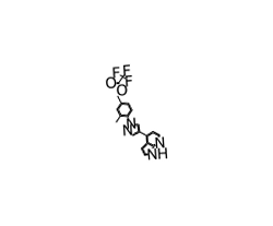 Cc1cc(COC(=O)C(F)(F)F)ccc1-n1cc(-c2ccnc3[nH]ccc23)cn1